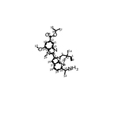 C=CC(F)(F)Cn1c(-c2nc3cc(C(=O)OC(C)C)cc(OC)c3n2C)cc2ccc(C(C)N)nc21